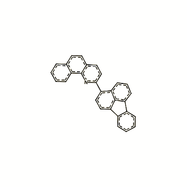 c1ccc2c(c1)-c1cccc3c(-c4ccc5ccc6ccccc6c5n4)ccc-2c13